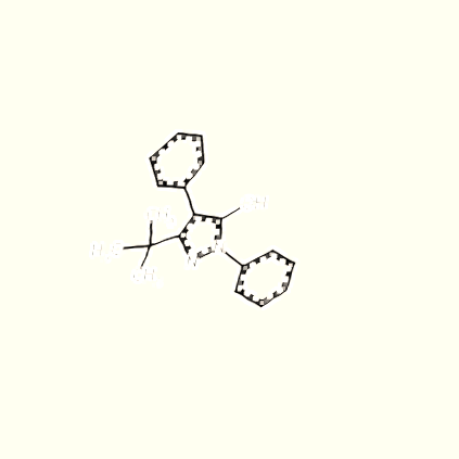 CC(C)(C)c1nn(-c2ccccc2)c(O)c1-c1ccccc1